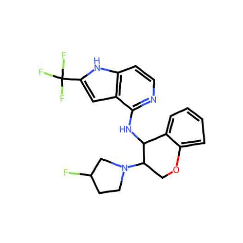 FC1CCN(C2COc3ccccc3C2Nc2nccc3[nH]c(C(F)(F)F)cc23)C1